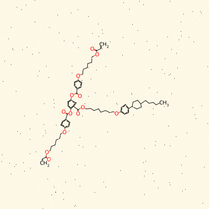 C=CC(=O)OCCCCCCOc1ccc(C(=O)Oc2ccc(OC(=O)c3ccc(OCCCCCCOC(=O)C=C)cc3)c(C(=O)OCCCCCCCCOc3ccc(C4CCC(CCCCC)CC4)cc3)c2)cc1